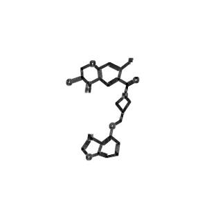 O=C1COc2cc(F)c(C(=O)N3CC(COc4cccc5ocnc45)C3)cc2N1